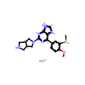 COc1ccc(-c2nc(N3CC4CNCC4C3)nc3[nH]cnc23)cc1SC.Cl